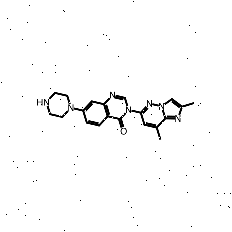 Cc1cn2nc(-n3cnc4cc(N5CCNCC5)ccc4c3=O)cc(C)c2n1